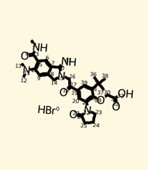 Br.CNC(=O)c1cc2c(cc1N(C)C)CN(CC(=O)c1cc(N3CCCC3=O)c(OCC(=O)O)c(C(C)(C)C)c1)C2=N